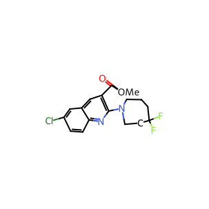 COC(=O)c1cc2cc(Cl)ccc2nc1N1CCCC(F)(F)CC1